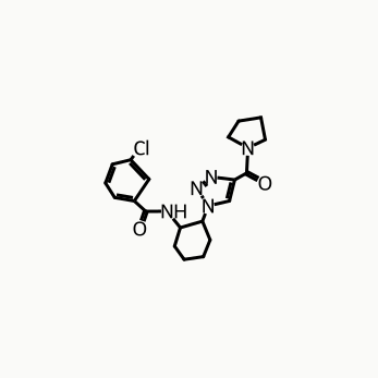 O=C(NC1CCCCC1n1cc(C(=O)N2CCCC2)nn1)c1cccc(Cl)c1